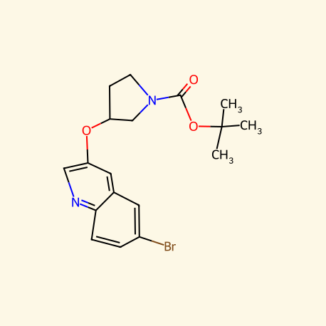 CC(C)(C)OC(=O)N1CCC(Oc2cnc3ccc(Br)cc3c2)C1